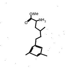 COC(=O)C(N)CC(C)CCc1cc(C)cc(C)c1